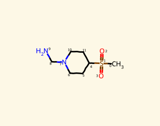 CS(=O)(=O)C1CCN(CN)CC1